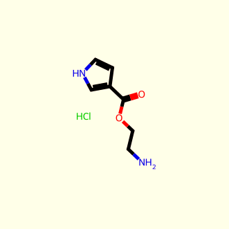 Cl.NCCOC(=O)c1cc[nH]c1